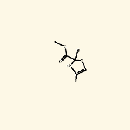 COC(=O)C1(Br)NC(C)=CS1